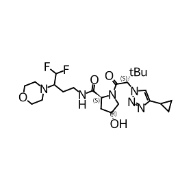 CC(C)(C)[C@@H](C(=O)N1C[C@H](O)C[C@H]1C(=O)NCCC(C(F)F)N1CCOCC1)n1cc(C2CC2)nn1